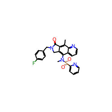 Cc1c2c(c(N(C)S(=O)(=O)c3ccccn3)c3cccnc13)CN(Cc1ccc(F)cc1)C2=O